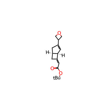 CC(C)(C)OC(=O)C=C1C[C@H]2CC(C3COC3)=C[C@@H]12